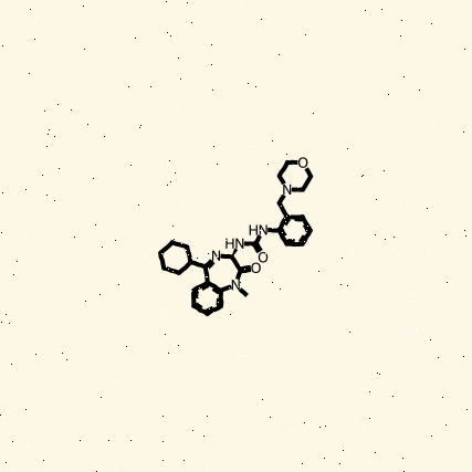 CN1C(=O)[C@H](NC(=O)Nc2ccccc2CN2CCOCC2)N=C(C2CCCCC2)c2ccccc21